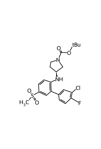 CC(C)(C)OC(=O)N1CC[C@H](Nc2ccc(S(C)(=O)=O)cc2-c2ccc(F)c(Cl)c2)C1